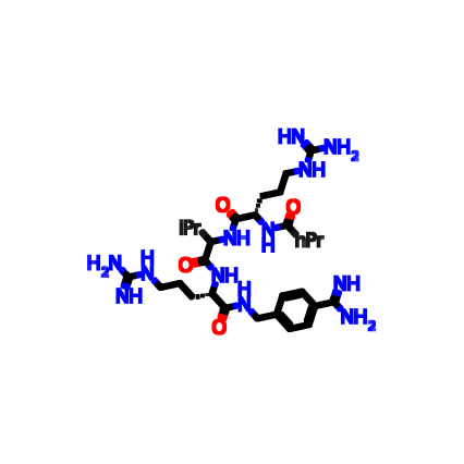 CCCC(=O)N[C@@H](CCCNC(=N)N)C(=O)NC(C(=O)N[C@@H](CCCNC(=N)N)C(=O)NCc1ccc(C(=N)N)cc1)C(C)C